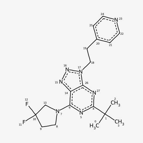 CC(C)(C)c1nc(N2CCC(F)(F)C2)c2nnn(CCc3ccncc3)c2n1